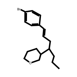 CCC[C](CC=Cc1ccc(Br)cc1)C1CCCOC1